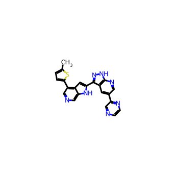 Cc1ccc(-c2cncc3[nH]c(-c4n[nH]c5ncc(-c6cnccn6)cc45)cc23)s1